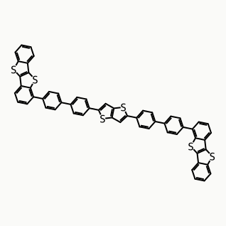 c1ccc2c(c1)sc1c3cccc(-c4ccc(-c5ccc(-c6cc7sc(-c8ccc(-c9ccc(-c%10cccc%11c%10sc%10c%12ccccc%12sc%11%10)cc9)cc8)cc7s6)cc5)cc4)c3sc21